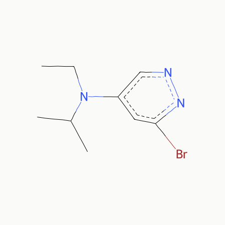 CCN(c1cnnc(Br)c1)C(C)C